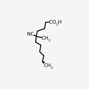 C=CCCCCC(C)(C#N)CCCC(=O)O